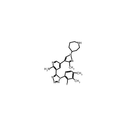 Cc1ccc(-n2nnnc2-c2cc(-c3cn(C4CCCNCC4)nc3C)cnc2N)c(F)c1C